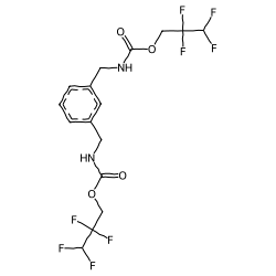 O=C(NCc1cccc(CNC(=O)OCC(F)(F)C(F)F)c1)OCC(F)(F)C(F)F